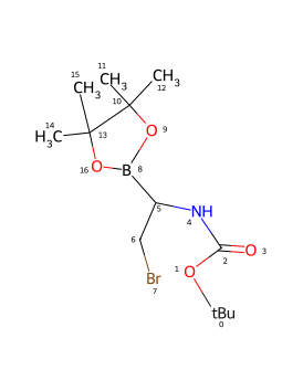 CC(C)(C)OC(=O)NC(CBr)B1OC(C)(C)C(C)(C)O1